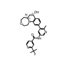 Cc1ncc(NC(=O)c2ccnc(C(C)(C)F)c2)cc1-c1ccc2c(c1)N1CCOCC[C@H]1C[C@@H]2O